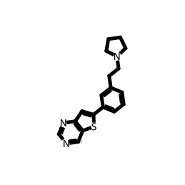 [c]1ncnc2cc(-c3cccc(CCN4CCCC4)c3)sc12